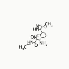 CCCNC(=O)c1c(N)c2cccc(-c3[nH]ncc3OC)c2c[n+]1[O-]